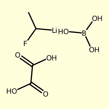 O=C(O)C(=O)O.OB(O)O.[Li][CH](C)F